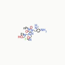 CCCn1c(=O)c2c(nc(Cc3ncc(F)o3)n2CCN(CC)CCO)n(CCc2ccc(N)cc2N)c1=O